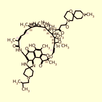 CO[C@H]1/C=C/O[C@@]2(C)Oc3c(C)c(O)c4c(c3C2=O)C2=NC3(CCN(CC(C)C)CC3)NC2=C(NC(=O)/C(C)=C\C=C\[C@H](C)[C@H](O)[C@@H](C)[C@@H](O)[C@@H](C)[C@H](OC(=O)CC(=O)N2CCOC3(CCN(C)CC3)C2)[C@@H]1C)C4=O